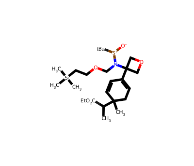 CCOC(=O)C(C)C1(C)C=CC(C2(N(COCC[Si](C)(C)C)[S+]([O-])C(C)(C)C)COC2)=CC1